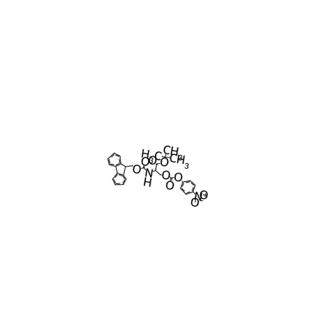 CC(C)(C)OC(=O)C(COC(=O)Oc1ccc([N+](=O)[O-])cc1)NC(=O)OCC1c2ccccc2-c2ccccc21